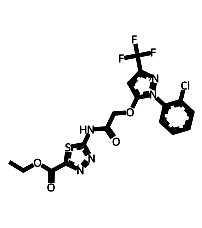 CCOC(=O)c1nnc(NC(=O)COc2cc(C(F)(F)F)nn2-c2ccccc2Cl)s1